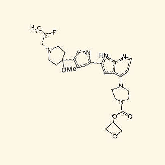 COC1(c2ccc(-c3cc4c(N5CCN(C(=O)OC6COC6)CC5)ccnc4[nH]3)nc2)CCN(C[C@H](C)F)CC1